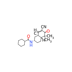 CC1(C)C(=O)C(C#N)=C[C@]2(C)C[C@@H](NC(=O)C3CCCCC3)CC[C@@H]12